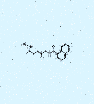 CCCNC(C)C/C=C(\CC)CNC(=O)c1cccc2cnccc12